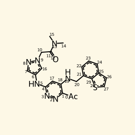 CC(=O)c1nnc(Nc2cnn(CC(=O)N(C)C)c2)cc1NCc1cccc2ccsc12